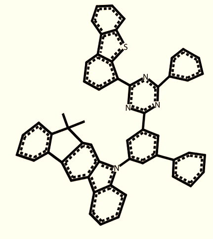 CC1(C)c2ccccc2-c2cc3c4ccccc4n(-c4cc(-c5ccccc5)cc(-c5nc(-c6ccccc6)nc(-c6cccc7c6sc6ccccc67)n5)c4)c3cc21